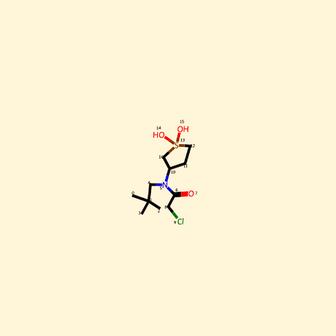 CC(C)(C)CN(C(=O)CCl)C1CCS(O)(O)C1